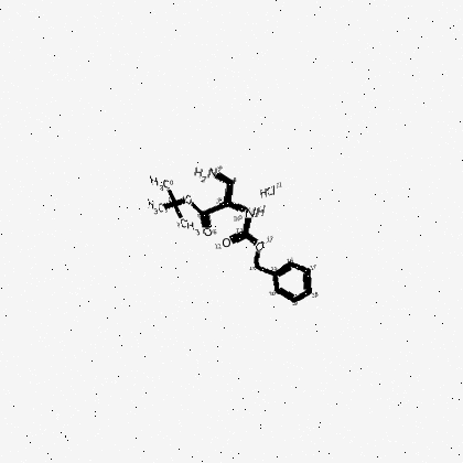 CC(C)(C)OC(=O)C(CN)NC(=O)OCc1ccccc1.Cl